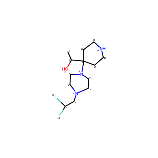 C[C](O)C1(N2CCN(CC(F)F)CC2)CCNCC1